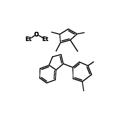 CC1=CC(C)C(C)=C1C.CCOCC.Cc1cc(C)cc(C2=CCc3ccccc32)c1